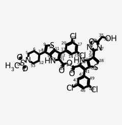 CS(=O)(=O)N1CCC(c2csc3c(-c4cc(Cl)cc(Cl)c4)c(C(=O)OC(=O)c4[nH]c5c(-c6noc(CO)n6)csc5c4-c4cc(Cl)cc(Cl)c4)[nH]c23)CC1